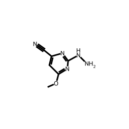 COc1cc(C#N)nc(NN)n1